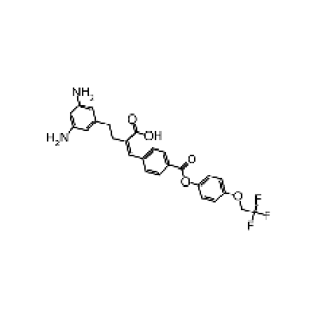 Nc1cc(N)cc(CCC(=Cc2ccc(C(=O)Oc3ccc(OCC(F)(F)F)cc3)cc2)C(=O)O)c1